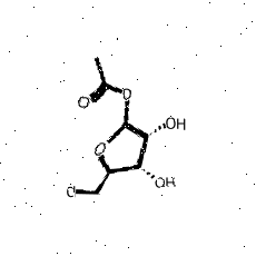 CC(=O)OC1O[C@H](CCl)[C@@H](O)[C@H]1O